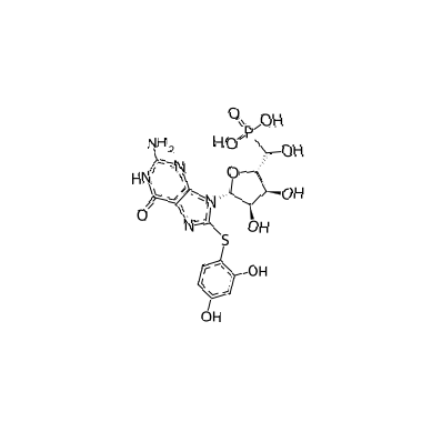 Nc1nc2c(nc(Sc3ccc(O)cc3O)n2[C@@H]2O[C@H](C(O)P(=O)(O)O)[C@@H](O)[C@H]2O)c(=O)[nH]1